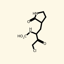 O=C(O)NC(CC1CCNC1=O)C(=O)CCl